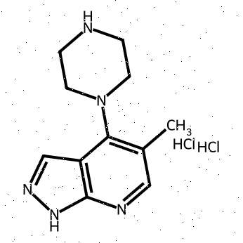 Cc1cnc2[nH]ncc2c1N1CCNCC1.Cl.Cl